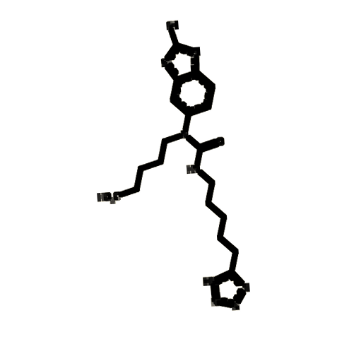 O=C(O)CCCCN(C(=O)NCCCCCc1nnn[nH]1)c1ccc2nc(S)sc2c1